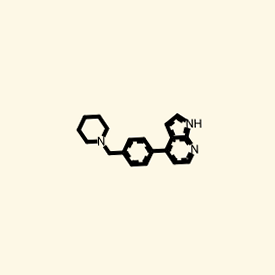 c1cc(-c2ccc(CN3CCCCC3)cc2)c2cc[nH]c2n1